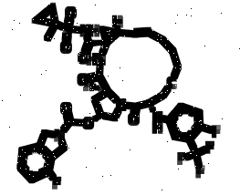 CC1(S(=O)(=O)NC(=O)[C@@]23C[C@@H]2/C=C\CCCCC[C@H](Nc2ccc(F)c(C(F)(F)F)c2)C(=O)N2C[C@H](OC(=O)N4Cc5cccc(F)c5C4)C[C@H]2C(=O)N3)CC1